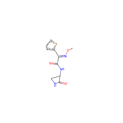 CO/N=C(/C(=O)NC1CNC1=O)c1cccs1